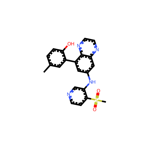 Cc1ccc(O)c(-c2cc(Nc3cnccc3S(C)(=O)=O)cc3nccnc23)c1